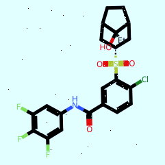 CC[C@]1(O)C2CCC1C[C@@H](S(=O)(=O)c1cc(C(=O)Nc3cc(F)c(F)c(F)c3)ccc1Cl)C2